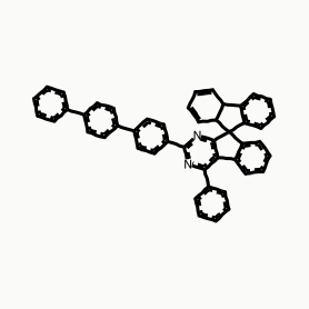 C1=CC2c3ccccc3C3(c4ccccc4-c4c(-c5ccccc5)nc(-c5ccc(-c6ccc(-c7ccccc7)cc6)cc5)nc43)C2C=C1